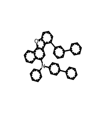 c1ccc(-c2ccc(N(c3ccccc3)c3cc4c(oc5cccc(-c6cccc(-c7ccccc7)c6)c54)c4ccccc34)cc2)cc1